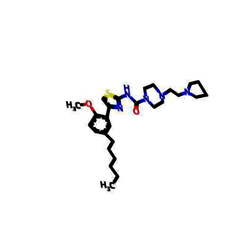 CCCCCCc1ccc(OC)c(-c2csc(NC(=O)N3CCN(CCN4CCCC4)CC3)n2)c1